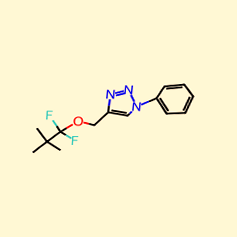 CC(C)(C)C(F)(F)OCc1cn(-c2ccccc2)nn1